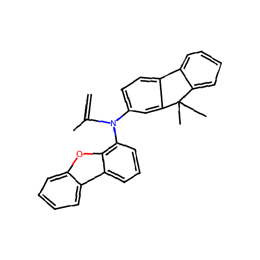 C=C(C)N(c1ccc2c(c1)C(C)(C)c1ccccc1-2)c1cccc2c1oc1ccccc12